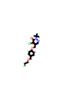 CC(C)(C)n1ncc(COc2ccc(COCCF)cc2)c(Cl)c1=O